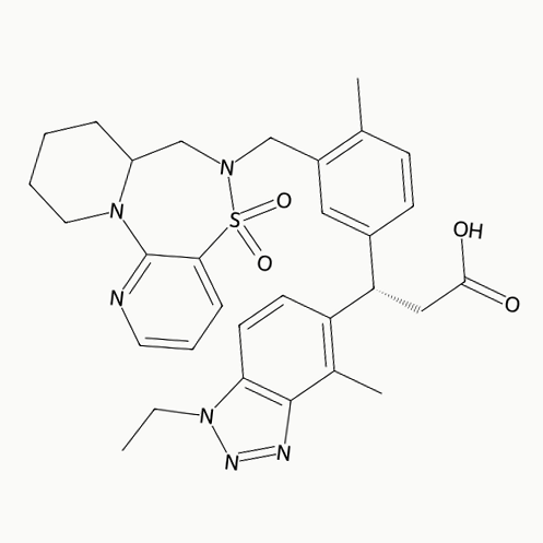 CCn1nnc2c(C)c([C@@H](CC(=O)O)c3ccc(C)c(CN4CC5CCCCN5c5ncccc5S4(=O)=O)c3)ccc21